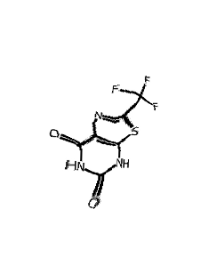 O=c1[nH]c(=O)c2nc(C(F)(F)F)sc2[nH]1